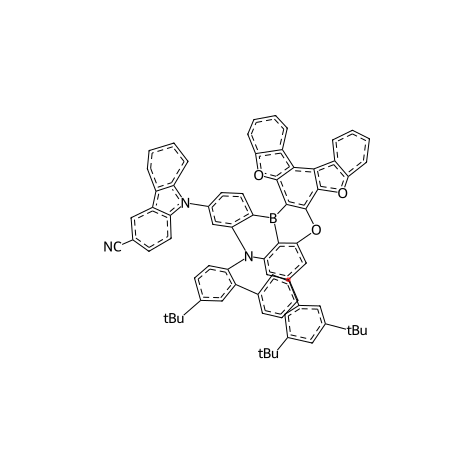 CC(C)(C)c1cc(-c2cc3c4c(c2)N(c2ccc(C(C)(C)C)cc2-c2ccccc2)c2cc(-n5c6ccccc6c6cc(C#N)ccc65)ccc2B4c2c(c4oc5ccccc5c4c4c2oc2ccccc24)O3)cc(C(C)(C)C)c1